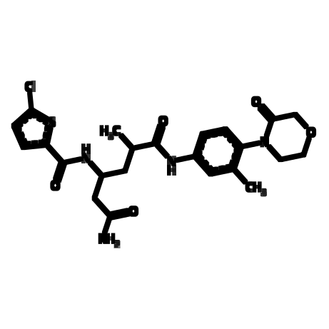 Cc1cc(NC(=O)C(C)CC(CC(N)=O)NC(=O)c2ccc(Cl)s2)ccc1N1CCOCC1=O